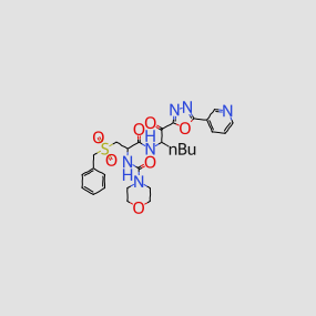 CCCCC(NC(=O)C(CS(=O)(=O)Cc1ccccc1)NC(=O)N1CCOCC1)C(=O)c1nnc(-c2cccnc2)o1